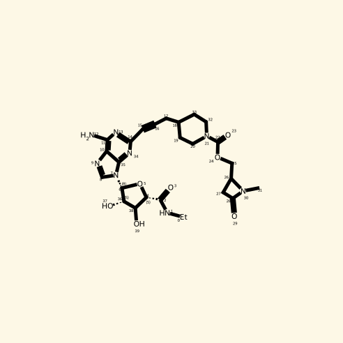 CCNC(=O)[C@H]1O[C@@H](n2cnc3c(N)nc(C#CCC4CCN(C(=O)OCC5CC(=O)N5C)CC4)nc32)[C@@H](O)C1O